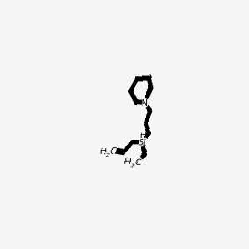 C=CC[SiH](CC)CCCN1CCCCC1